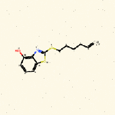 C=CCCCCSc1nc2c(O)cccc2s1